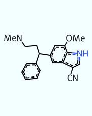 CNCCC(c1ccccc1)c1cc(OC)c2[nH]cc(C#N)c2c1